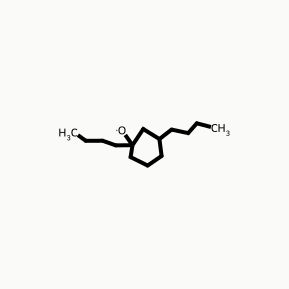 CCCCC1CCCC([O])(CCCC)C1